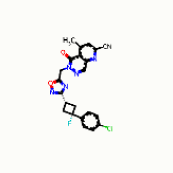 Cc1cc(C#N)nc2cnn(Cc3nc([C@H]4C[C@](F)(c5ccc(Cl)cc5)C4)no3)c(=O)c12